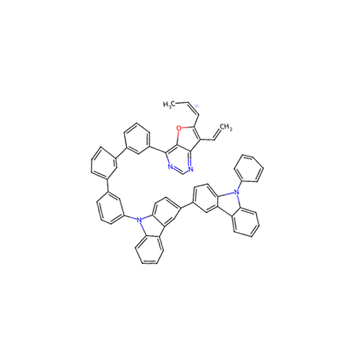 C=Cc1c(/C=C\C)oc2c(-c3cccc(-c4cccc(-c5cccc(-n6c7ccccc7c7cc(-c8ccc9c(c8)c8ccccc8n9-c8ccccc8)ccc76)c5)c4)c3)ncnc12